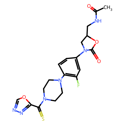 CC(=O)NCC1CN(c2ccc(N3CCN(C(=S)c4nnco4)CC3)c(F)c2)C(=O)O1